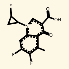 Cc1c(F)c(F)cc2c1c(=O)c(C(=O)O)cn2C1CC1F